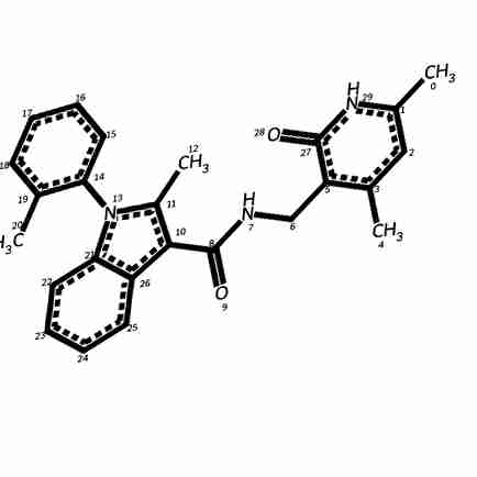 Cc1cc(C)c(CNC(=O)c2c(C)n(-c3ccccc3C)c3ccccc23)c(=O)[nH]1